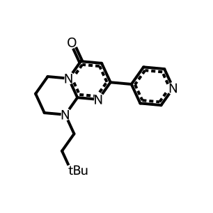 CC(C)(C)CCN1CCCn2c1nc(-c1ccncc1)cc2=O